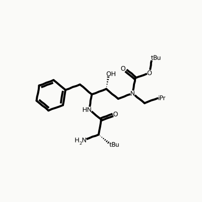 CC(C)CN(C[C@@H](O)C(Cc1ccccc1)NC(=O)[C@@H](N)C(C)(C)C)C(=O)OC(C)(C)C